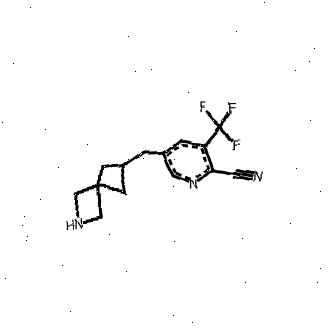 N#Cc1ncc(CC2CC3(CNC3)C2)cc1C(F)(F)F